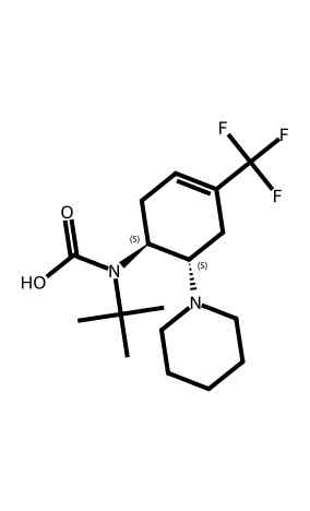 CC(C)(C)N(C(=O)O)[C@H]1CC=C(C(F)(F)F)C[C@@H]1N1CCCCC1